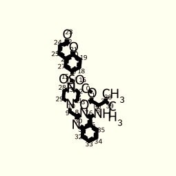 COC(=O)[C@@H](Nc1nc(CN2CCN(S(=O)(=O)c3ccc4oc(=O)ccc4c3)CC2)nc2ccccc12)C(C)C